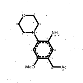 COc1cc(N2CCOCC2)c(N)cc1CC(C)=O